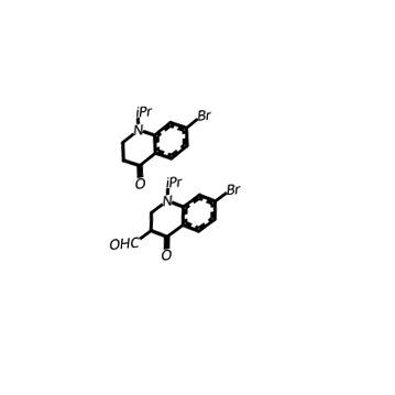 CC(C)N1CC(C=O)C(=O)c2ccc(Br)cc21.CC(C)N1CCC(=O)c2ccc(Br)cc21